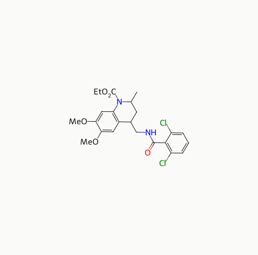 CCOC(=O)N1c2cc(OC)c(OC)cc2C(CNC(=O)c2c(Cl)cccc2Cl)CC1C